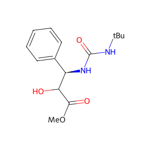 COC(=O)C(O)[C@H](NC(=O)NC(C)(C)C)c1ccccc1